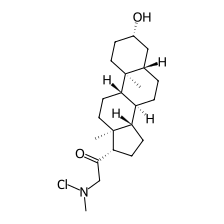 CN(Cl)CC(=O)[C@H]1CC[C@H]2[C@@H]3CC[C@H]4C[C@@H](O)CC[C@]4(C)[C@H]3CC[C@]12C